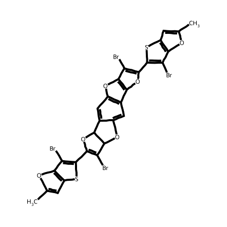 Cc1cc2sc(C3=C(Br)C4Oc5cc6c(cc5C4O3)oc3c(Br)c(-c4sc5cc(C)oc5c4Br)oc36)c(Br)c2o1